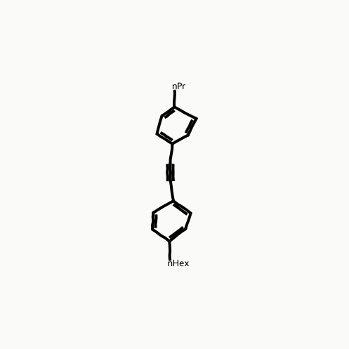 CCCCCCc1ccc(C#Cc2ccc(CCC)cc2)cc1